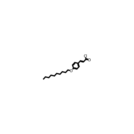 CCCCCCCCCCOc1ccc(C=CC(=O)Cl)cc1